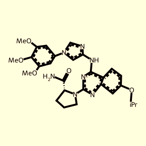 COc1cc(-n2cnc(Nc3nc(N4CCC[C@@H]4C(N)=O)nc4cc(OC(C)C)ccc34)c2)cc(OC)c1OC